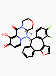 O=C1c2c(O)c(=O)ccn2N([C@@H]2c3ccccc3-c3occc3-c3c2ccc(F)c3F)[C@@H]2COCCN12